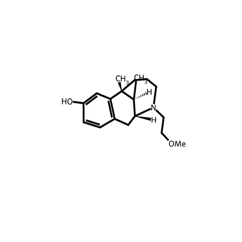 COCCN1CCC[C@@]2(C)c3cc(O)ccc3C[C@@H]1[C@@H]2C